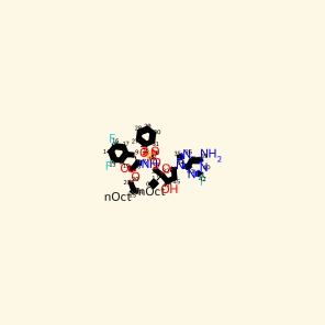 C#C[C@]1(CO[P@@](=O)(N[C@@H](Cc2cc(F)cc(F)c2)C(=O)OCC(CCCCCCCC)CCCCCCCC)Oc2ccccc2)O[C@@H](n2cnc3c(N)nc(F)nc32)C[C@@H]1O